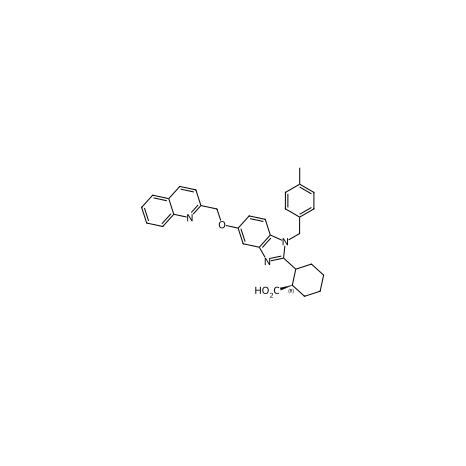 Cc1ccc(Cn2c(C3CCCC[C@H]3C(=O)O)nc3cc(OCc4ccc5ccccc5n4)ccc32)cc1